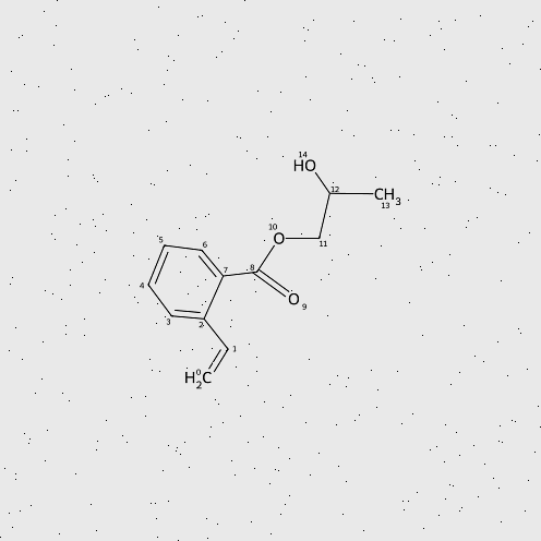 C=Cc1ccccc1C(=O)OCC(C)O